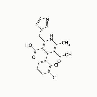 CC1=C(C(=O)O)C(c2cccc(Cl)c2Cl)C(C(=O)O)=C(Cn2ccnc2)N1